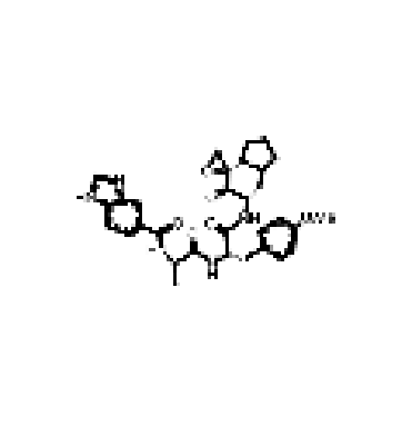 COc1ccc(C[C@H](NC(=O)[C@@H](C)NC(=O)c2ccc3[nH]cnc3c2)C(=O)N[C@@H](CC2CCCC2)C(=O)[C@]2(C)CO2)cc1